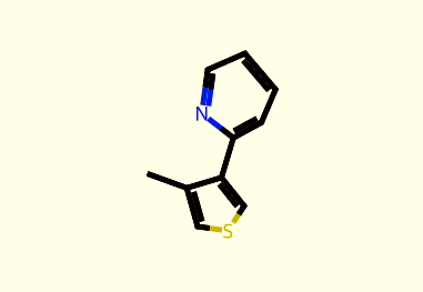 Cc1cscc1-c1ccccn1